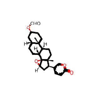 C[C@]12CC[C@H](OC=O)C[C@H]1CC[C@@H]1[C@@H]2CC[C@]2(C)[C@@H](c3ccc(=O)oc3)C[C@H]3O[C@]132